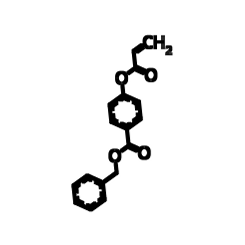 C=CC(=O)Oc1ccc(C(=O)OCc2ccccc2)cc1